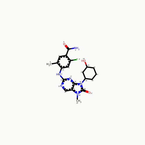 Cc1cc(C(N)=O)c(F)cc1Nc1ncc2c(n1)n(C1CCCC(O)C1)c(=O)n2C